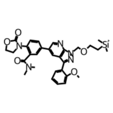 COc1ccccc1-c1nn(COCC[Si](C)(C)C)c2ncc(-c3ccc(N4CCOC4=O)c(C(=O)N(C)C)c3)cc12